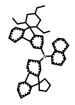 CCC1CC(CC)C2(c3ccccc3-c3cc(N(c4ccc5c(c4)C4(CCCC4)c4ccccc4-5)c4cccc5ccccc45)ccc32)C(CC)C1